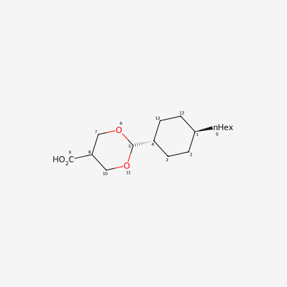 CCCCCC[C@H]1CC[C@H](C2OCC(C(=O)O)CO2)CC1